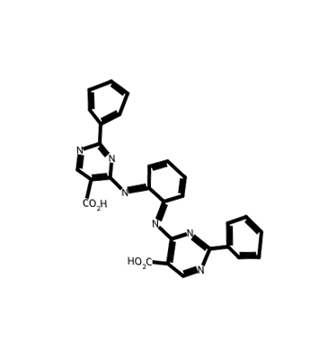 O=C(O)c1cnc(-c2ccccc2)nc1N=C1C=CC=CC1=Nc1nc(-c2ccccc2)ncc1C(=O)O